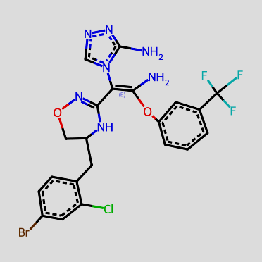 N/C(Oc1cccc(C(F)(F)F)c1)=C(/C1=NOCC(Cc2ccc(Br)cc2Cl)N1)n1cnnc1N